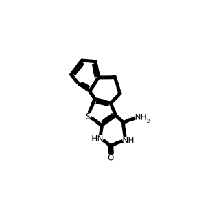 NC1NC(=O)Nc2sc3c(c21)CCc1ccccc1-3